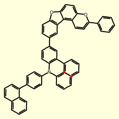 C1=Cc2c(ccc3oc4ccc(-c5ccc(N(c6ccccc6)c6ccc(-c7cccc8ccccc78)cc6)c(-c6ccccc6)c5)cc4c23)OC=1c1ccccc1